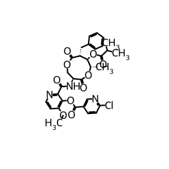 COc1ccnc(C(=O)N[C@H]2COC(=O)[C@H](Cc3ccccc3)[C@@H](OC(=O)C(C)C)[C@H](C)OC2=O)c1OC(=O)c1ccc(Cl)nc1